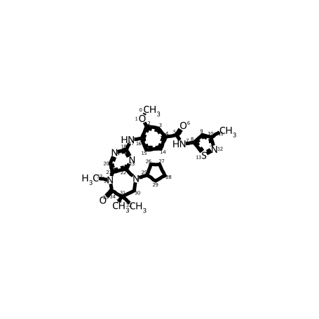 COc1cc(C(=O)Nc2cc(C)ns2)ccc1Nc1ncc2c(n1)N(C1CCCC1)CC(C)(C)C(=O)N2C